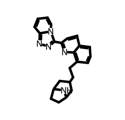 c1cc(CCC2CC3CCC(C2)N3)c2nc(-c3nnc4ccccn34)ccc2c1